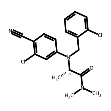 C[C@@H](C(=O)N(C)C)N(Cc1ccccc1Cl)c1ccc(C#N)c(Cl)c1